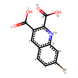 O=C(O)c1cc2ccc(Br)cc2nc1C(=O)O